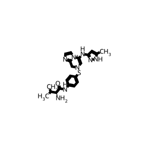 Cc1cc(NC2=CN(Sc3ccc(NC(=O)[C@H](N)C(C)C)cc3)CC3=NC=C[N+]23)n[nH]1